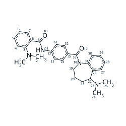 CN(C)c1ccccc1C(=O)Nc1ccc(C(=O)N2CCCC(N(C)C)c3ccccc32)cc1